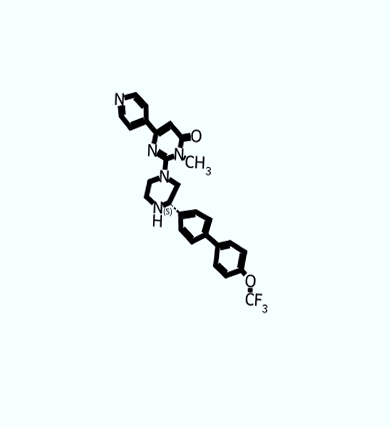 Cn1c(N2CCN[C@@H](c3ccc(-c4ccc(OC(F)(F)F)cc4)cc3)C2)nc(-c2ccncc2)cc1=O